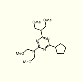 COCC(COC)c1nc(C2CCCC2)nc(N(COC)COC)n1